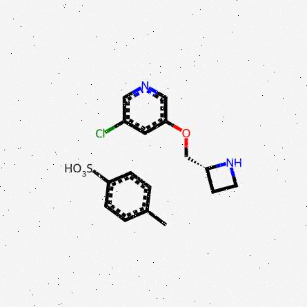 Cc1ccc(S(=O)(=O)O)cc1.Clc1cncc(OC[C@H]2CCN2)c1